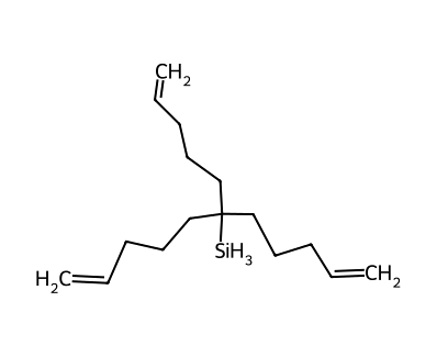 C=CCCCC([SiH3])(CCCC=C)CCCC=C